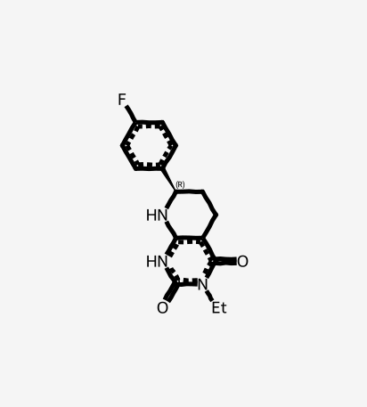 CCn1c(=O)[nH]c2c(c1=O)CC[C@H](c1ccc(F)cc1)N2